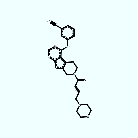 C#Cc1cccc(Nc2ncnc3sc4c(c23)CCN(C(=O)/C=C/CN2CCOCC2)C4)c1